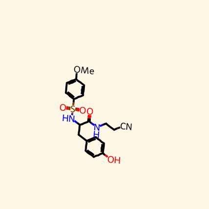 COc1ccc(S(=O)(=O)NC(Cc2ccc(O)cc2)C(=O)NCCC#N)cc1